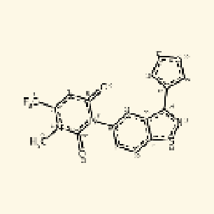 Cn1c(C(F)(F)F)cc(=O)n(-c2ccc3snc(-c4ccsc4)c3c2)c1=O